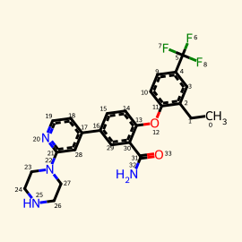 CCc1cc(C(F)(F)F)ccc1Oc1ccc(-c2ccnc(N3CCNCC3)c2)cc1C(N)=O